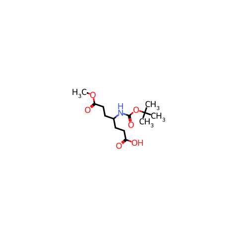 COC(=O)CCC(CCC(=O)O)NC(=O)OC(C)(C)C